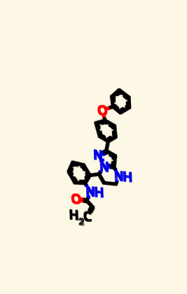 C=CC(=O)Nc1ccccc1C1CCNc2cc(-c3ccc(Oc4ccccc4)cc3)nn21